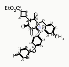 CCOC(=O)[C@H]1C[C@@H](n2c(=O)[nH]/c(=N\c3ccc(Oc4ccc(F)cn4)cc3)n(Cc3ccc(C)cc3)c2=O)C1